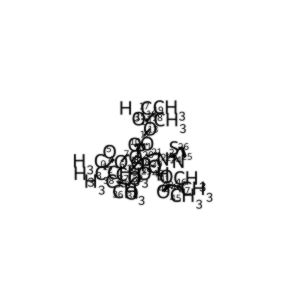 CC(C)(C)C(=O)OCOP(=O)(OCOC(=O)C(C)(C)C)C(CNc1nccs1)P(=O)(OCOC(=O)C(C)(C)C)OCOC(=O)C(C)(C)C